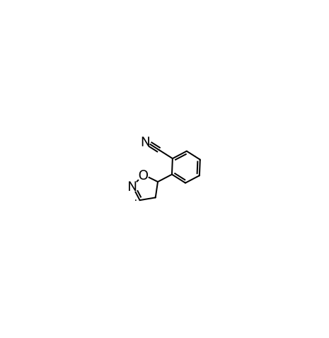 N#Cc1ccccc1C1C[C]=NO1